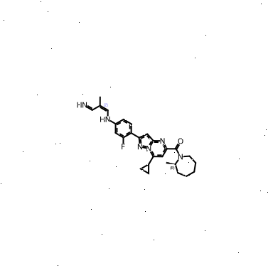 C/C(C=N)=C/Nc1ccc(-c2cc3nc(C(=O)N4CCCCC[C@H]4C)cc(C4CC4)n3n2)c(F)c1